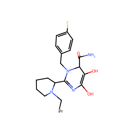 CC(C)CN1CCCCC1C1=NC(O)=C(O)C(C(N)=O)N1Cc1ccc(F)cc1